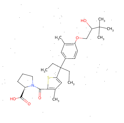 CCC(CC)(c1ccc(OCC(O)C(C)(C)C)c(C)c1)c1cc(C)c(C(=O)N2CCC[C@@H]2C(=O)O)s1